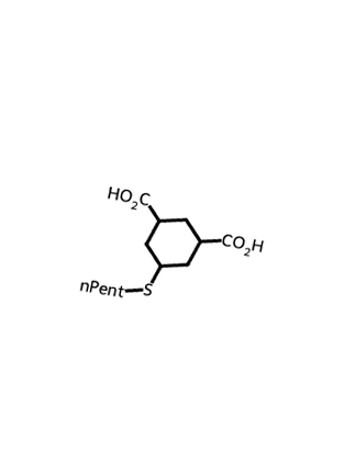 CCCCCSC1CC(C(=O)O)CC(C(=O)O)C1